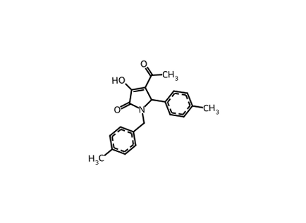 CC(=O)C1=C(O)C(=O)N(Cc2ccc(C)cc2)C1c1ccc(C)cc1